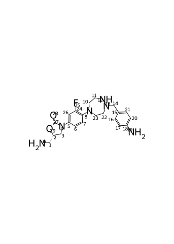 NC[C@H]1CN(c2ccc(N3CCNN(Cc4ccc(N)cc4)CC3)c(F)c2)C(=O)O1